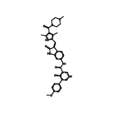 COc1ccc(-c2c[nH]cc(C(=O)Nc3ccc4c(c3)NC(=O)C4=Cc3[nH]c(C)c(C(=O)N4CCN(C)CC4)c3C)c2=O)cc1